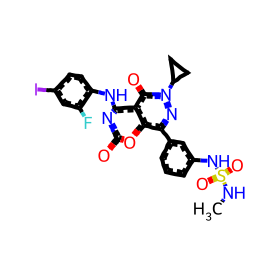 CNS(=O)(=O)Nc1cccc(-c2nn(C3CC3)c(=O)c3c(Nc4ccc(I)cc4F)nc(=O)oc23)c1